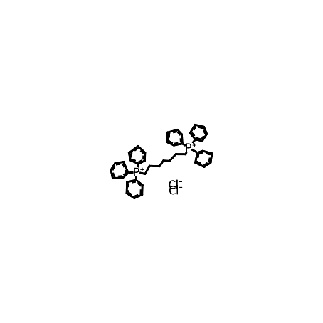 [Cl-].[Cl-].c1ccc([P+](CCCCCCC[P+](c2ccccc2)(c2ccccc2)c2ccccc2)(c2ccccc2)c2ccccc2)cc1